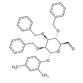 Cc1ccc(O[C@H]2O[C@H](C=O)[C@@H](OCc3ccccc3)[C@H](OCc3ccccc3)[C@@H]2OCc2ccccc2)c(C)c1